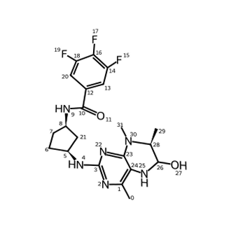 Cc1nc(N[C@H]2CC[C@@H](NC(=O)c3cc(F)c(F)c(F)c3)C2)nc2c1NC(O)[C@H](C)N2C